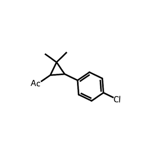 CC(=O)C1C(c2ccc(Cl)cc2)C1(C)C